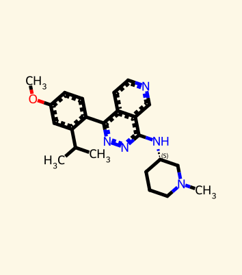 COc1ccc(-c2nnc(N[C@H]3CCCN(C)C3)c3cnccc23)c(C(C)C)c1